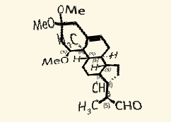 CO[C@H]1CC(OC)(OC)CC2=CC[C@H]3[C@@H]4CC[C@H]([C@H](C)C=O)[C@@]4(C)CC[C@@H]3[C@]21C